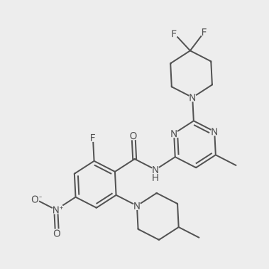 Cc1cc(NC(=O)c2c(F)cc([N+](=O)[O-])cc2N2CCC(C)CC2)nc(N2CCC(F)(F)CC2)n1